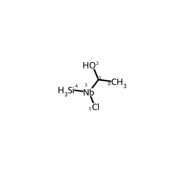 C[CH](O)[Nb]([SiH3])[Cl]